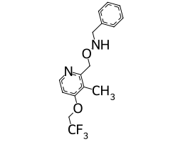 Cc1c(OCC(F)(F)F)ccnc1CONCc1ccccc1